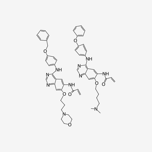 C=CC(=O)Nc1cc2c(Nc3ccc(OCc4ccccc4)cc3)ncnc2cc1OCCCN1CCOCC1.C=CC(=O)Nc1cc2c(Nc3ccc(Oc4ccccc4)cc3)ncnc2cc1OCCCCN(C)C